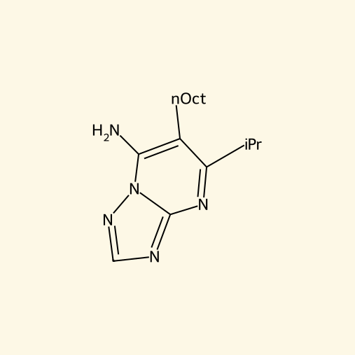 CCCCCCCCc1c(C(C)C)nc2ncnn2c1N